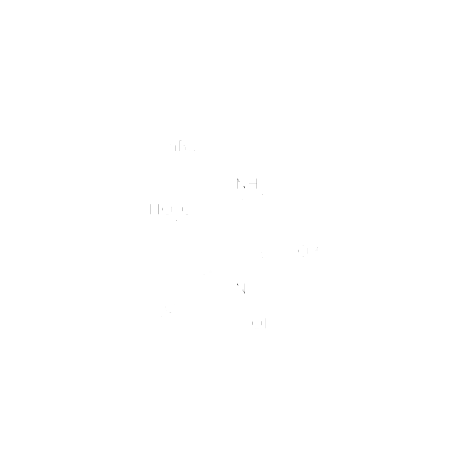 CCCCC(N)C(=O)O.O=C1CCC(=O)N1O